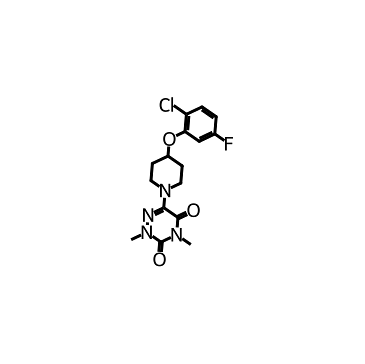 Cn1nc(N2CCC(Oc3cc(F)ccc3Cl)CC2)c(=O)n(C)c1=O